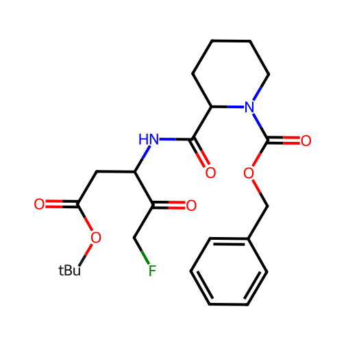 CC(C)(C)OC(=O)CC(NC(=O)C1CCCCN1C(=O)OCc1ccccc1)C(=O)CF